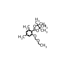 CCOCOc1cc(C)cc(C)c1B1OC(C)(C)C(C)(C)O1